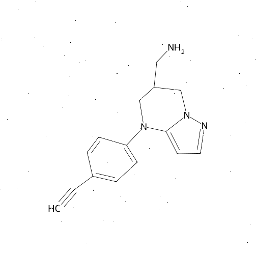 C#Cc1ccc(N2CC(CN)Cn3nccc32)cc1